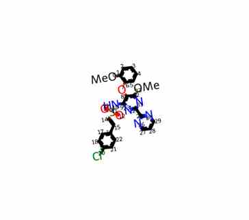 COc1ccccc1Oc1c(NS(=O)(=O)C=Cc2ccc(Cl)cc2)nc(-c2ncccn2)nc1OC